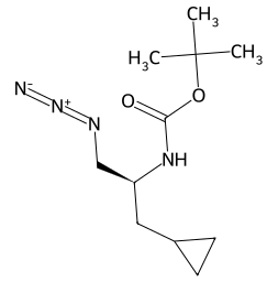 CC(C)(C)OC(=O)N[C@H](CN=[N+]=[N-])CC1CC1